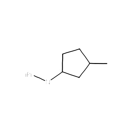 CC1CCC([N]C(C)C)C1